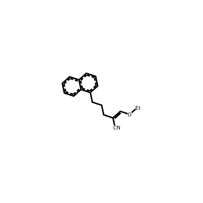 CCOC=C(C#N)CCCc1cccc2ccccc12